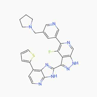 Fc1c(-c2cncc(CN3CCCC3)c2)ncc2[nH]nc(-c3nc4c(-c5cccs5)ccnc4[nH]3)c12